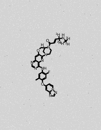 [2H]C([2H])([2H])NC([2H])([2H])/C=C/C(=O)N1CCN2C[C@H]1COc1cc3ncnc(Nc4cc(C)c(Oc5ccn6ncnc6c5)cc4F)c3nc12